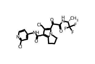 C[C@@H](NC(=O)C(=O)c1c(Cl)c(C(=O)Nc2ccnc(Cl)c2)c2n1CCC2)C(F)(F)F